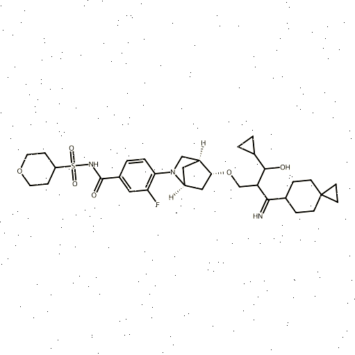 N=C(C1CCC2(CC1)CC2)C(CO[C@@H]1C[C@@H]2C[C@H]1CN2c1ccc(C(=O)NS(=O)(=O)C2CCOCC2)cc1F)C(O)C1CC1